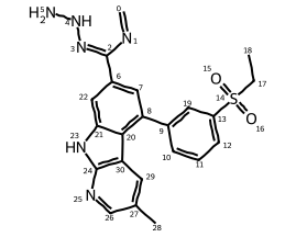 C=N/C(=N\NN)c1cc(-c2cccc(S(=O)(=O)CC)c2)c2c(c1)[nH]c1ncc(C)cc12